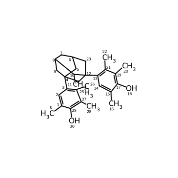 Cc1cc(C23CC4CC(C2)C(C)C(c2cc(C)c(O)c(C)c2C)(C4)C3)c(C)c(C)c1O